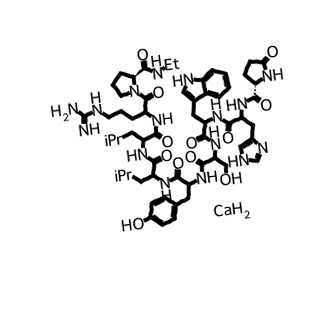 CCNC(=O)[C@@H]1CCCN1C(=O)C(CCCNC(=N)N)NC(=O)C(CC(C)C)NC(=O)C(CC(C)C)NC(=O)C(Cc1ccc(O)cc1)NC(=O)C(CO)NC(=O)C(Cc1c[nH]c2ccccc12)NC(=O)C(Cc1c[nH]cn1)NC(=O)[C@@H]1CCC(=O)N1.[CaH2]